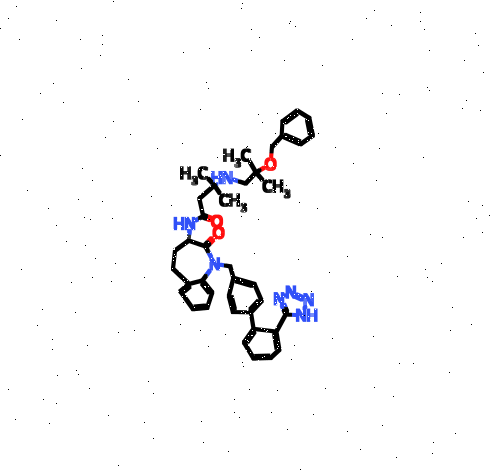 CC(C)(CC(=O)N[C@@H]1CCc2ccccc2N(Cc2ccc(-c3ccccc3-c3nnn[nH]3)cc2)C1=O)NCC(C)(C)OCc1ccccc1